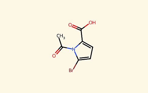 CC(=O)n1c(Br)ccc1C(=O)O